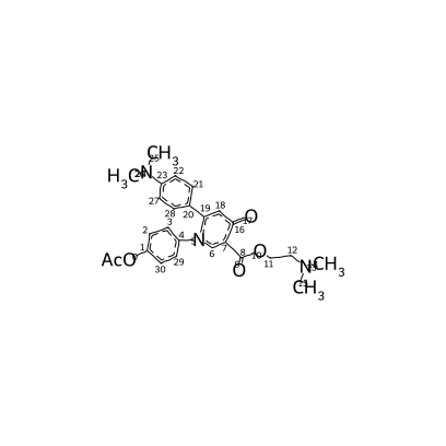 CC(=O)Oc1ccc(-n2cc(C(=O)OCCN(C)C)c(=O)cc2-c2ccc(N(C)C)cc2)cc1